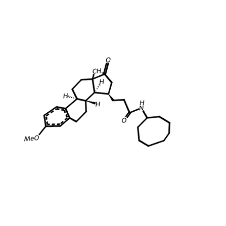 COc1ccc2c(c1)CC[C@H]1[C@@H]3[C@H](CCC(=O)NC4CCCCCCC4)CC(=O)C3(C)CC[C@H]21